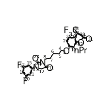 CCCc1c(OCCCCCN2C(=O)CN(c3cc(F)cc(F)c3)C2=O)ccc2c(C(F)(F)F)cc(=O)oc12